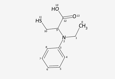 CCN(c1ccccc1)C(CS)C(=O)O